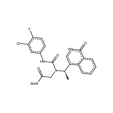 CNC(=O)CN(C(=O)Nc1ccc(F)c(Cl)c1)[C@H](C)c1c[nH]c(=O)c2ccccc12